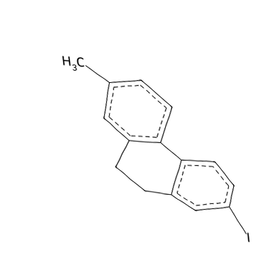 Cc1ccc2c(c1)CCc1cc(I)ccc1-2